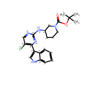 CC(C)(C)OC(=O)N1CCC[C@@H](Nc2ncc(Cl)c(-c3c[nH]c4ccccc34)n2)C1